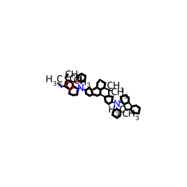 C=CC1=C(/C=C\C)c2cccc(N(c3ccc4cc5c6c(cccc6c4c3)C(C)(C)c3cc(N(c4ccccc4)c4cccc6c4C(C)(C)c4ccccc4-6)ccc3-5)c3ccccc3-c3ccccc3)c2C1(C)C